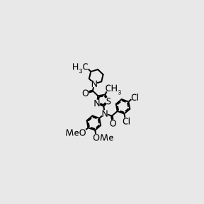 COc1ccc(N(C(=O)c2ccc(Cl)cc2Cl)c2nc(C(=O)N3CCCC(C)C3)c(C)s2)cc1OC